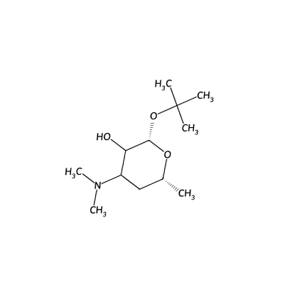 C[C@@H]1CC(N(C)C)C(O)[C@H](OC(C)(C)C)O1